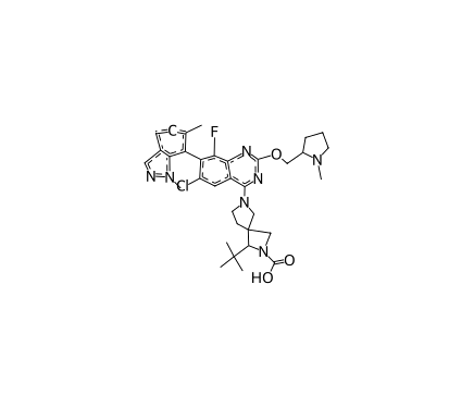 Cc1ccc2cnn(C)c2c1-c1c(Cl)cc2c(N3CCC4(C3)CN(C(=O)O)C4C(C)(C)C)nc(OCC3CCCN3C)nc2c1F